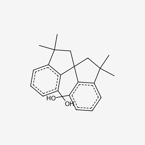 CC1(C)CC2(CC(C)(C)c3cccc(O)c32)c2c(O)cccc21